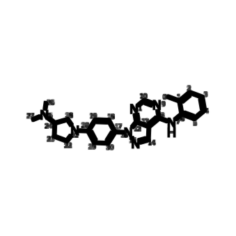 Cc1ccccc1Nc1ncnc2c1cnn2-c1ccc(N2CCC(N(C)C)C2)cc1